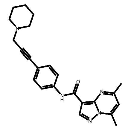 Cc1cc(C)n2ncc(C(=O)Nc3ccc(C#CCN4CCCCC4)cc3)c2n1